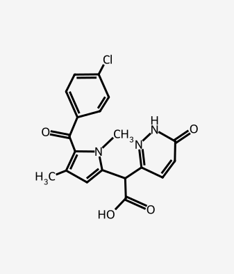 Cc1cc(C(C(=O)O)c2ccc(=O)[nH]n2)n(C)c1C(=O)c1ccc(Cl)cc1